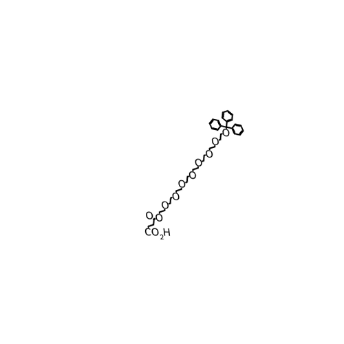 O=C(O)CCC(=O)OCCOCCOCCOCCOCCOCCOCCOCCOC(c1ccccc1)(c1ccccc1)c1ccccc1